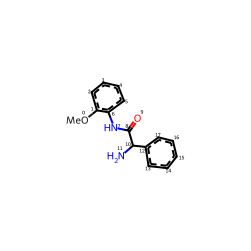 COc1ccccc1NC(=O)C(N)c1ccccc1